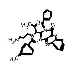 Cc1ccc(C(=O)N(CCCN)C(c2nc3nc4ccccc4nc3c(=O)n2Cc2ccccc2)C(C)C)cc1